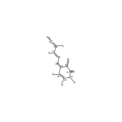 C=C=[N+](C)/C(C)=C/N=C1\C(=C)NC(C)C(C)=C1C